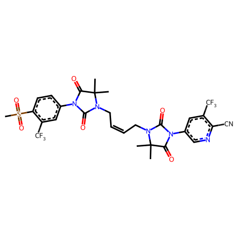 CC1(C)C(=O)N(c2ccc(S(C)(=O)=O)c(C(F)(F)F)c2)C(=O)N1C/C=C\CN1C(=O)N(c2cnc(C#N)c(C(F)(F)F)c2)C(=O)C1(C)C